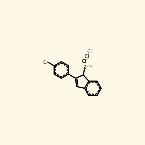 Clc1ccc(C2=Cc3ccccc3[CH]2[Zr+3])cc1.[Cl-].[Cl-].[Cl-]